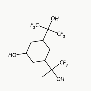 CC(O)(C1CC(O)CC(C(O)(C(F)(F)F)C(F)(F)F)C1)C(F)(F)F